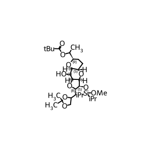 CO[Si](O[C@@H]1[C@@H]2O[C@H]3CC[C@H](C(C)OC(=O)C(C)(C)C)O[C@@H]3[C@H](O)[C@@H]2O[C@@H]1CC1COC(C)(C)O1)(C(C)C)C(C)C